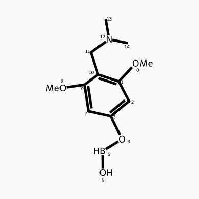 COc1cc(OBO)cc(OC)c1CN(C)C